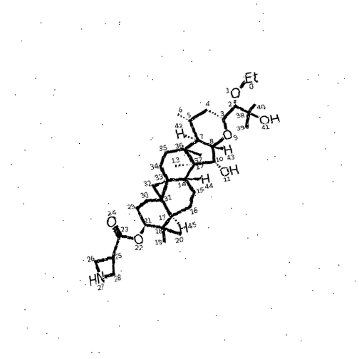 CCO[C@@H]([C@H]1C[C@@H](C)[C@H]2[C@H](O1)[C@H](O)[C@@]1(C)[C@@H]3CC[C@H]4C(C)(C)[C@@H](OC(=O)C5CNC5)CCC45C[C@@]35CC[C@]21C)C(C)(C)O